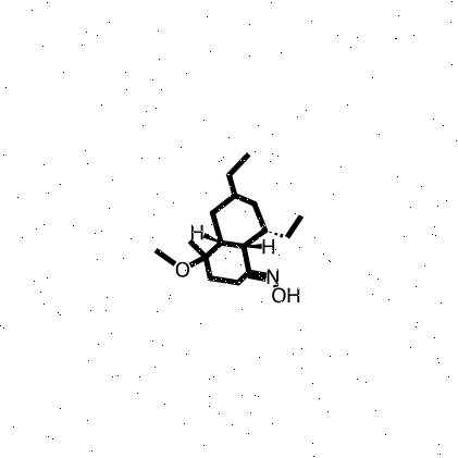 CCC1C[C@H](CC)[C@@H]2/C(=N/O)CCC(C)(OC)[C@@H]2C1